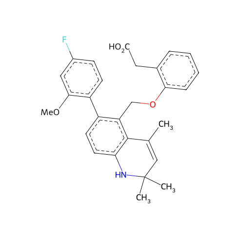 COc1cc(F)ccc1-c1ccc2c(c1COc1ccccc1CC(=O)O)C(C)=CC(C)(C)N2